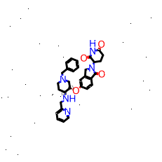 O=C1CCC(N2Cc3cc(O[C@H]4CN(Cc5ccccc5)CC[C@@H]4NCc4ccccn4)ccc3C2=O)C(=O)N1